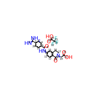 N=C(N)c1ccc(C(=O)Nc2ccc3c(c2)CCN(CC(=O)O)C3=O)cc1.O=C(O)C(F)(F)F